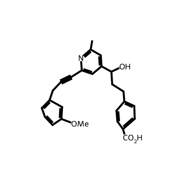 COc1cccc(CC#Cc2cc(C(O)CCc3ccc(C(=O)O)cc3)cc(C)n2)c1